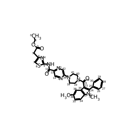 CCOC(=O)Cc1csc(NC(=O)c2cnc(N3CCN(C(=O)c4c(-c5ccccc5)n(C)c5ccc(C)cc45)CC3)cn2)n1